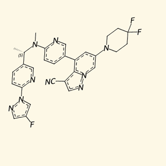 C[C@@H](c1ccc(-n2cc(F)cn2)nc1)N(C)c1ccc(-c2cc(N3CCC(F)(F)CC3)cn3ncc(C#N)c23)cn1